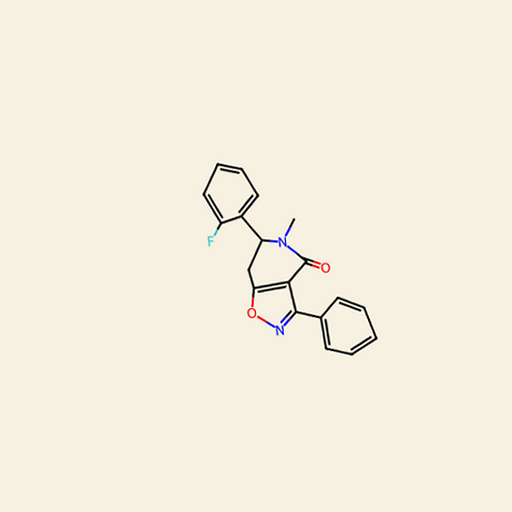 CN1C(=O)c2c(-c3ccccc3)noc2CC1c1ccccc1F